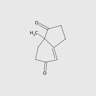 CC12CCC(=O)C=C1CCC2=O